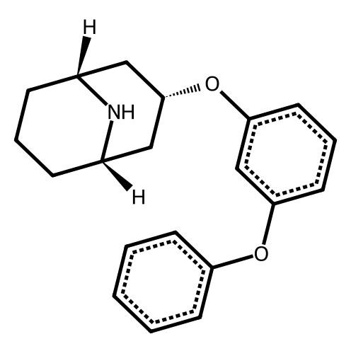 c1ccc(Oc2cccc(O[C@H]3C[C@H]4CCC[C@@H](C3)N4)c2)cc1